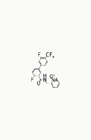 O=C(NCc1cccc[n+]1[O-])c1cc(-c2ccc(C(F)(F)F)c(F)c2)ccc1F